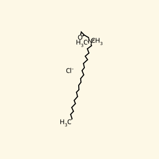 CCCCCCCCCCCCCCCCCCCCCC[N+](C)(C)CC1CO1.[Cl-]